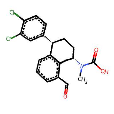 CN(C(=O)O)[C@H]1CC[C@@H](c2ccc(Cl)c(Cl)c2)c2cccc(C=O)c21